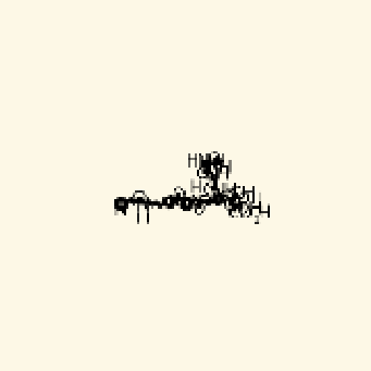 O=C(/C=C/c1cccnc1)NCCCCC1CCN(C(=O)c2cccc(NC(=O)OCc3ccc(O[C@@H]4OC(C(=O)O)C(O)[C@H](O)C4O)c(NC(=O)CCNC(=O)C4(NC(=O)CI)CNC4)c3)c2)CC1